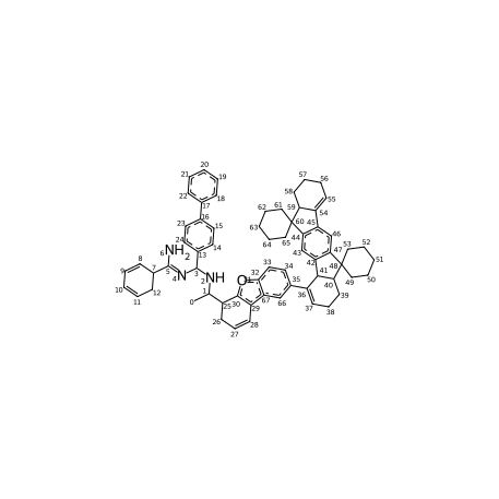 CC(NC(/N=C(\N)C1C=CC=CC1)c1ccc(-c2ccccc2)cc1)C1CC=Cc2c1oc1ccc(C3=CCCC4C3c3cc5c(cc3C43CCCCC3)C3=CCCCC3C53CCCCC3)cc21